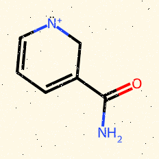 NC(=O)C1=CC=C[N+]C1